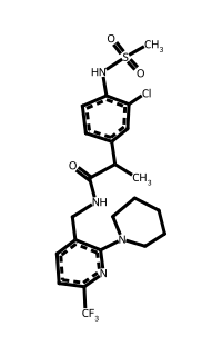 CC(C(=O)NCc1ccc(C(F)(F)F)nc1N1CCCCC1)c1ccc(NS(C)(=O)=O)c(Cl)c1